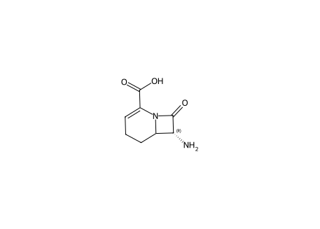 N[C@H]1C(=O)N2C(C(=O)O)=CCCC12